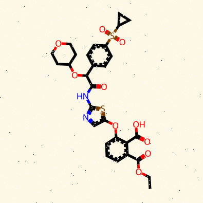 CCOC(=O)c1cccc(Oc2cnc(NC(=O)C(OC3CCOCC3)c3ccc(S(=O)(=O)C4CC4)cc3)s2)c1C(=O)O